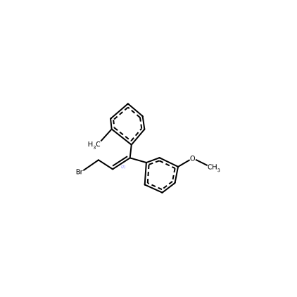 COc1cccc(/C(=C/CBr)c2ccccc2C)c1